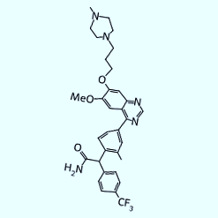 COc1cc2c(-c3ccc(C(C(N)=O)c4ccc(C(F)(F)F)cc4)c(C)c3)ncnc2cc1OCCCN1CCN(C)CC1